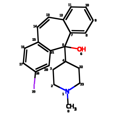 CN1CCC(C2(O)c3ccccc3C=Cc3ccc(I)cc32)CC1